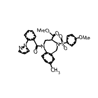 COC(=O)C1CN(C(=O)c2ccccc2-n2cccn2)c2ccc(C)cc2CN1S(=O)(=O)c1ccc(OC)cc1